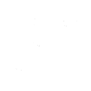 CCOC(=O)C(CSSC(=O)[C@@H](N)CS)NC(=O)Cc1ccccc1C(=O)NC(CSSC(=O)[C@@H](N)CS)C(=O)OCC